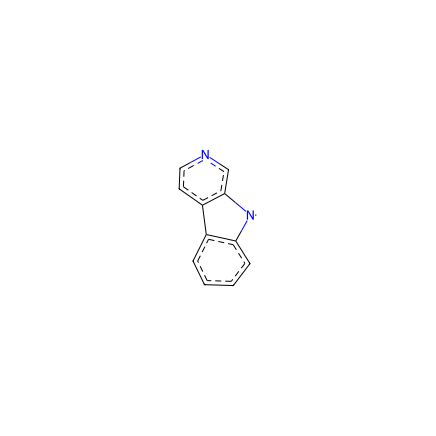 c1ccc2c(c1)[N]c1cnccc1-2